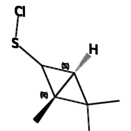 CC1(C)[C@@H]2C(SCl)[C@]21C